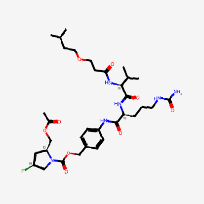 CC(=O)OC[C@@H]1C[C@H](F)CN1C(=O)OCc1ccc(NC(=O)[C@H](CCCNC(N)=O)NC(=O)[C@@H](NC(=O)CCOCCC(C)C)C(C)C)cc1